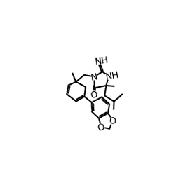 CC(C)CC1(C)NC(=N)N(CC2(C)C=CC=C(c3ccc4c(c3)OCO4)C2)C1=O